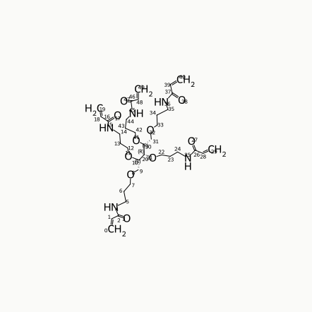 C=CC(=O)NCCCOC[C@H](OCCCNC(=O)C=C)[C@@H](OCCCNC(=O)C=C)[C@@H](COCCCNC(=O)C=C)OCCCNC(=O)C=C